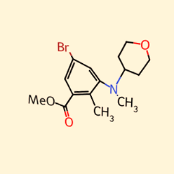 COC(=O)c1cc(Br)cc(N(C)C2CCOCC2)c1C